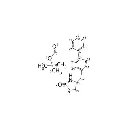 CC(C)(C)OC=O.O=C1CCC(Cc2ccc(-c3ccccc3)cc2)N1